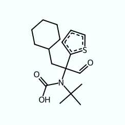 CC(C)(C)N(C(=O)O)C(C=O)(CC1CCCCC1)c1cccs1